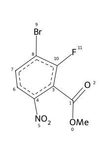 COC(=O)c1c([N+](=O)[O-])ccc(Br)c1F